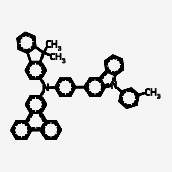 Cc1cccc(-n2c3ccccc3c3cc(-c4ccc(N(c5ccc6c(c5)C(C)(C)c5ccccc5-6)c5ccc6c7ccccc7c7ccccc7c6c5)cc4)ccc32)c1